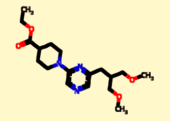 CCOC(=O)C1CCN(c2cncc(CC(COC)COC)n2)CC1